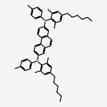 CCCCCCc1cc(C)c(N(c2ccc(C)cc2)c2ccc3c(ccc4cc(N(c5ccc(C)cc5)c5c(C)cc(CCCCCC)cc5C)ccc43)c2)c(C)c1